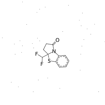 O=C1CCC2(C(F)F)Sc3ccccc3N12